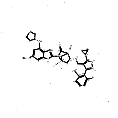 O=C(O)c1cc(O[C@@H]2CCOC2)c2nc(N3C(=O)[C@@H]4C[C@H]3C[C@H]4OCc3c(-c4c(Cl)cccc4Cl)noc3C3CC3)sc2c1